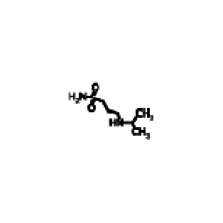 CC(C)NCCCS(N)(=O)=O